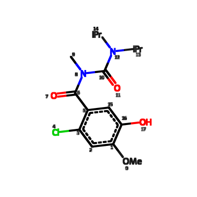 COc1cc(Cl)c(C(=O)N(C)C(=O)N(C(C)C)C(C)C)cc1O